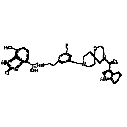 O=C(c1c[nH]c2ccccc12)N1CCOC2(CCN(Cc3cc(F)cc(CCNC[C@H](O)c4ccc(O)c5[nH]c(=O)sc45)c3)CC2)C1